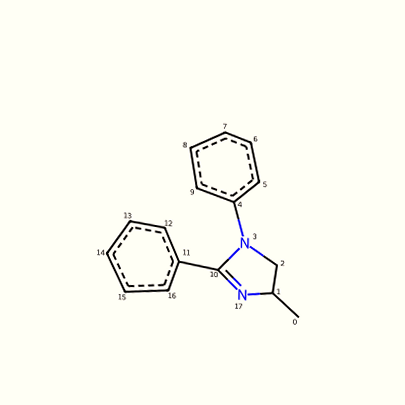 CC1CN(c2ccccc2)C(c2ccccc2)=N1